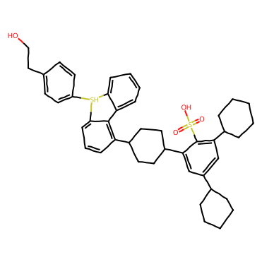 O=S(=O)(O)c1c(C2CCCCC2)cc(C2CCCCC2)cc1C1CCC(c2cccc3c2-c2ccccc2[SH]3c2ccc(CCO)cc2)CC1